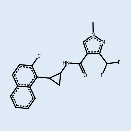 Cn1cc(C(=O)NC2CC2c2c(Cl)ccc3ccccc23)c(C(F)F)n1